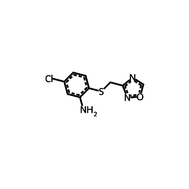 Nc1cc(Cl)ccc1SCc1ncon1